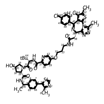 Cc1ncsc1-c1ccc([C@H](C)NC(=O)[C@@H]2C[C@@H](O)CN2C(=O)[C@@H](NC(=O)c2ccc(OCCCNC(=O)C[C@@H]3N=C(c4ccc(Cl)cc4)c4c(sc(C)c4C)-n4c(C)nnc43)cn2)C(C)(C)C)cc1